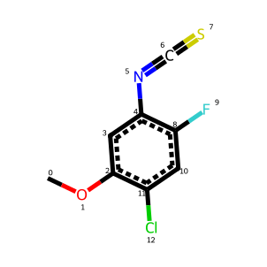 COc1cc(N=C=S)c(F)cc1Cl